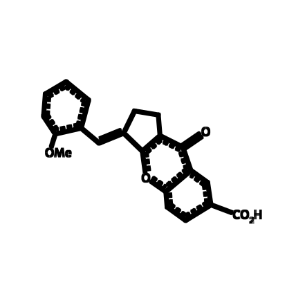 COc1ccccc1C=C1CCc2c1oc1ccc(C(=O)O)cc1c2=O